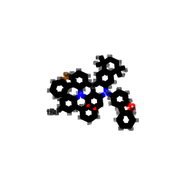 Cc1cc2c3c(c1)N(c1ccc(C(C)(C)C)cc1-c1ccccc1)c1c(ccc4sc5ccccc5c14)B3c1cc3c(cc1N2c1ccc2oc4ccccc4c2c1)C(C)(C)CCC3(C)C